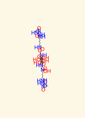 Cc1cc(=O)nc(NC(=O)NCCCCCCNC(=O)OCCNC(=O)[C@@H](O)[C@H](O)[C@H](O)[C@@H](O)C(=O)NCCN(CCCCCCNC(=O)Nc2nc(=O)cc(C)[nH]2)C(=O)O)[nH]1